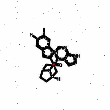 Cc1cc2[nH]c(C(=O)N3C4CC[C@H]3CN(c3ncnc5[nH]ccc35)C4)cc2cc1F